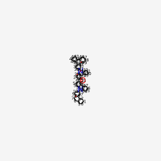 c1ccc2c(c1)ccc1ccc(-n3c4ccccc4c4c5oc6c(ccc7c6c6ccccc6n7-c6ccc7c8ccccc8c8ccccc8c7c6)c5ccc43)cc12